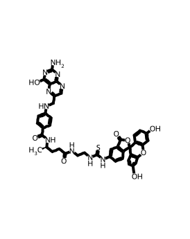 C[C@H](CCC(=O)NCCNC(=S)Nc1ccc2c(c1)C(=O)OC21c2ccc(O)cc2Oc2cc(O)ccc21)NC(=O)c1ccc(NCc2cnc3nc(N)nc(O)c3n2)cc1